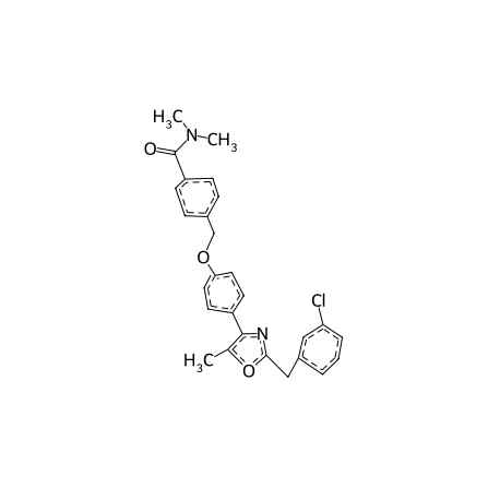 Cc1oc(Cc2cccc(Cl)c2)nc1-c1ccc(OCc2ccc(C(=O)N(C)C)cc2)cc1